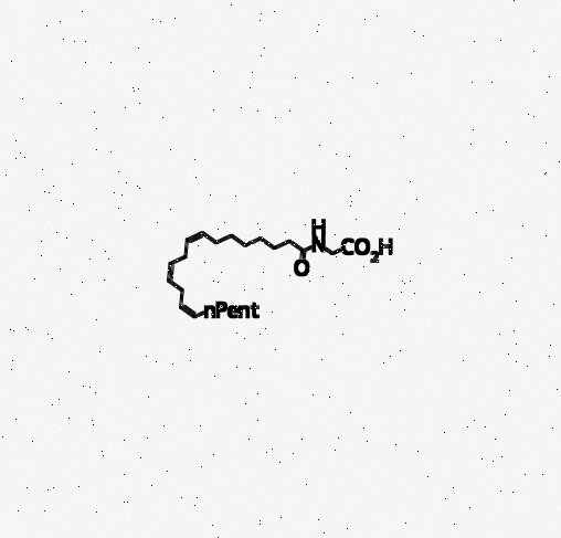 CCCCC/C=C\C/C=C\C/C=C\CCCCCCC(=O)NCC(=O)O